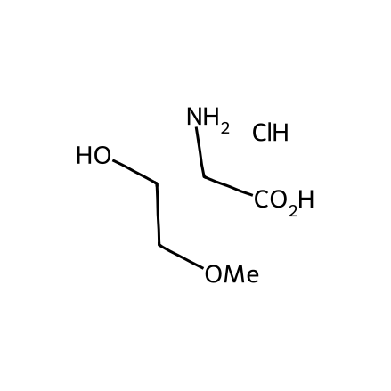 COCCO.Cl.NCC(=O)O